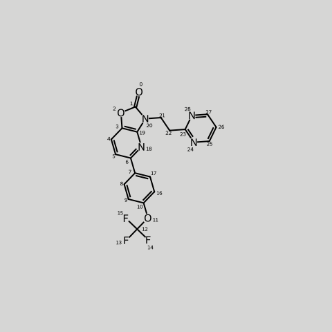 O=c1oc2ccc(-c3ccc(OC(F)(F)F)cc3)nc2n1CCc1ncccn1